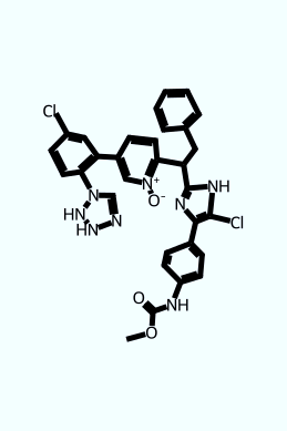 COC(=O)Nc1ccc(-c2nc(C(Cc3ccccc3)c3ccc(-c4cc(Cl)ccc4N4C=NNN4)c[n+]3[O-])[nH]c2Cl)cc1